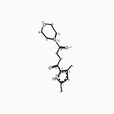 Cc1cc(C)c(C(=O)CCC(=O)N2CCOCC2)[nH]1